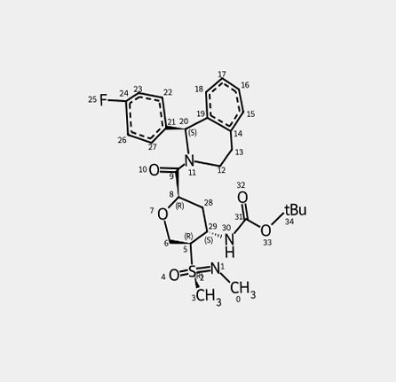 CN=[S@](C)(=O)[C@H]1CO[C@@H](C(=O)N2CCc3ccccc3[C@@H]2c2ccc(F)cc2)C[C@@H]1NC(=O)OC(C)(C)C